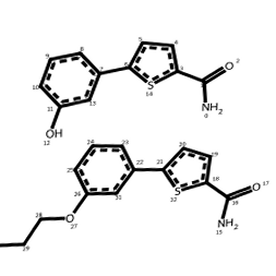 NC(=O)c1ccc(-c2cccc(O)c2)s1.NC(=O)c1ccc(-c2cccc(OCCCl)c2)s1